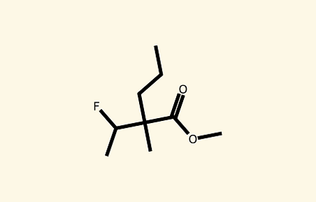 CCCC(C)(C(=O)OC)C(C)F